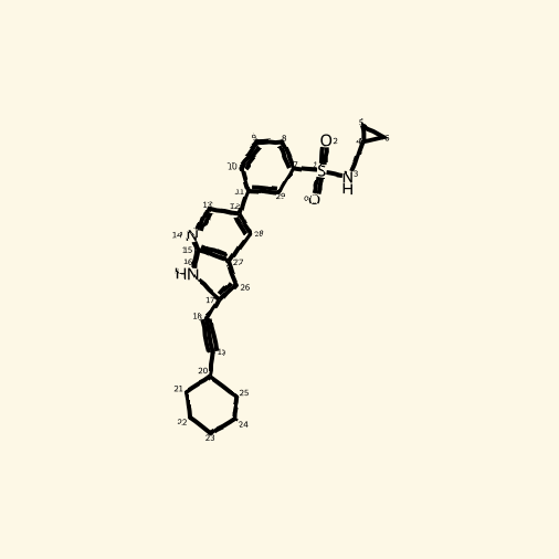 O=S(=O)(NC1CC1)c1cccc(-c2cnc3[nH]c(C#CC4CCCCC4)cc3c2)c1